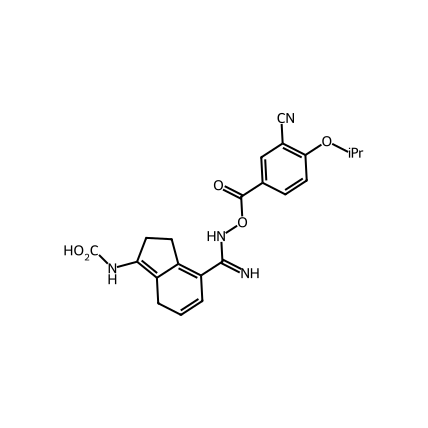 CC(C)Oc1ccc(C(=O)ONC(=N)C2=C3CCC(NC(=O)O)=C3CC=C2)cc1C#N